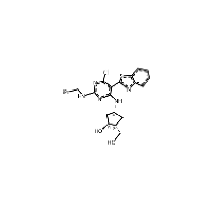 CC(C)CNc1nc(Cl)c(-c2nc3ccccc3s2)c(N[C@@H]2C[C@H](CO)[C@@H](O)C2)n1